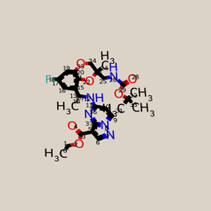 CCOC(=O)c1cnn2ccc(N[C@H](C)c3cc(F)cc4c3OC(C)(CNC(=O)OC(C)(C)C)CO4)nc12